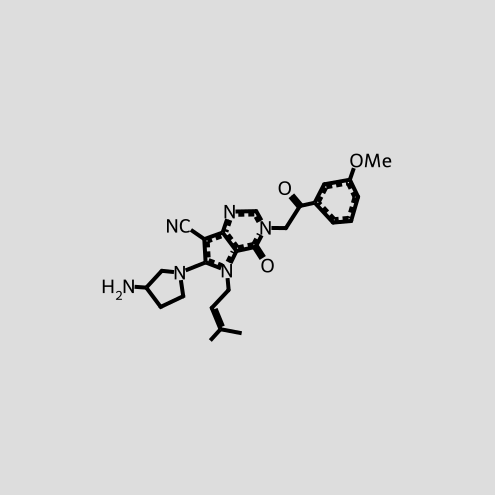 COc1cccc(C(=O)Cn2cnc3c(C#N)c(N4CCC(N)C4)n(CC=C(C)C)c3c2=O)c1